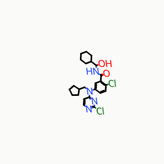 O=C(NC(O)C1CCCCC1)c1cc(N(CC2CCCC2)c2ccnc(Cl)n2)ccc1Cl